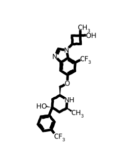 C[C@H]1C[C@@](O)(c2cccc(C(F)(F)F)c2)C[C@@H](COc2cc(C(F)(F)F)c3c(c2)ncn3C2CC(C)(O)C2)N1